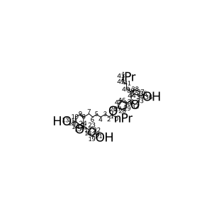 CCCC(CCCCCCC1=CCC2(CO)COC(c3ccc(O)cc3)C1C2)Oc1ccc(C2OCC3(CO)CC=C(CCCC(C)C)C2C3)cc1